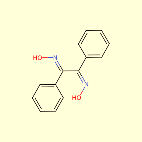 ON=C(C(=NO)c1ccccc1)c1ccccc1